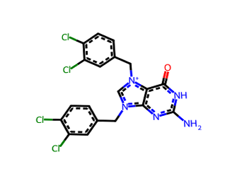 Nc1nc2c(c(=O)[nH]1)[n+](Cc1ccc(Cl)c(Cl)c1)cn2Cc1ccc(Cl)c(Cl)c1